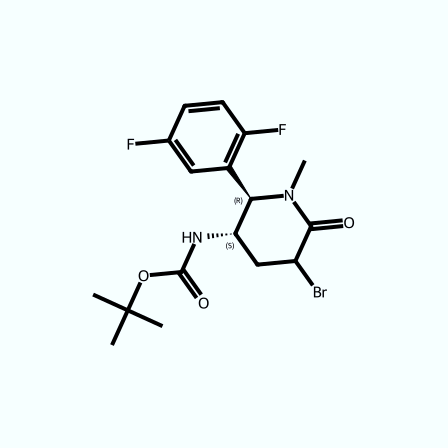 CN1C(=O)C(Br)C[C@H](NC(=O)OC(C)(C)C)[C@H]1c1cc(F)ccc1F